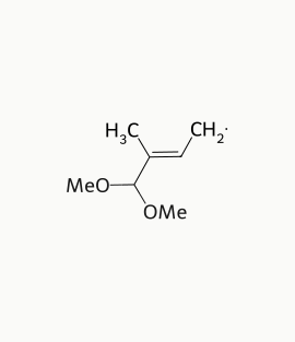 [CH2]/C=C(\C)C(OC)OC